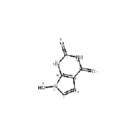 O=c1[nH]c(=O)c2ncn(O)c2[nH]1